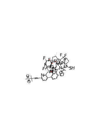 C[C@H]1CC(F)(F)c2c1c(C(F)(F)F)nn2CC(=O)N[C@@H](Cc1cc(F)cc(F)c1)c1nc(C#CC(C)(C)S(C)(=O)=O)ccc1-c1ccc(Cl)c2c(N(C(=O)N3CCC[C@H]3CS)S(C)(=O)=O)nn(CC(F)(F)F)c12